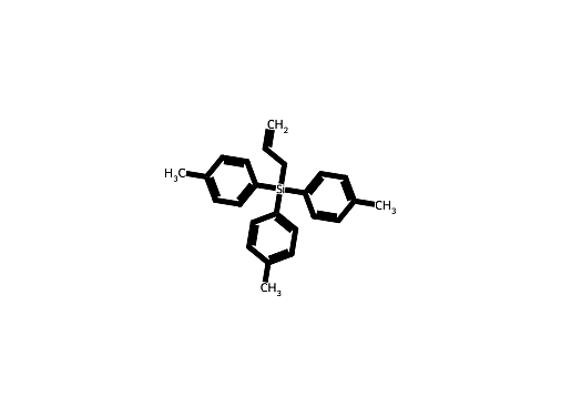 C=CC[Si](c1ccc(C)cc1)(c1ccc(C)cc1)c1ccc(C)cc1